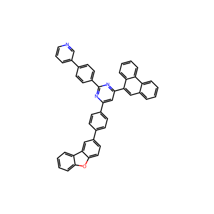 c1cncc(-c2ccc(-c3nc(-c4ccc(-c5ccc6oc7ccccc7c6c5)cc4)cc(-c4cc5ccccc5c5ccccc45)n3)cc2)c1